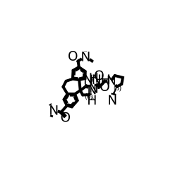 C[C@H](CC1(c2n[nH]c(=O)[nH]2)c2ccc(C(=O)N(C)C)cc2CCc2cc(C(=O)N(C)C)ccc21)NCC(=O)N1CCC[C@H]1C#N